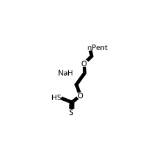 CCCCCCOCCOC(=S)S.[NaH]